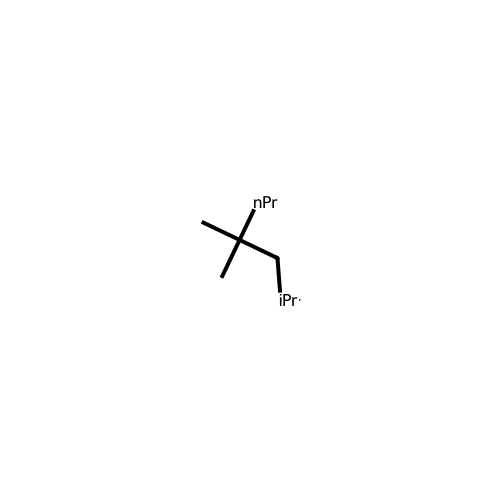 CCCC(C)(C)C[C](C)C